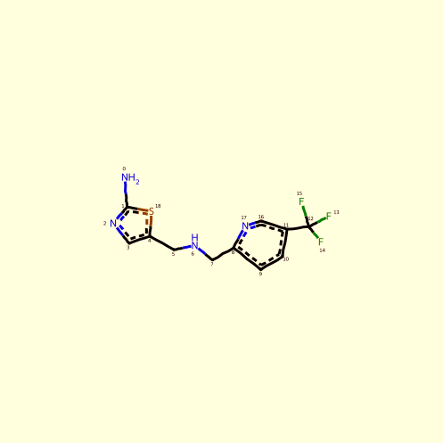 Nc1ncc(CNCc2ccc(C(F)(F)F)cn2)s1